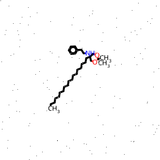 CCCCCCCCCCCCCCCCCCC1(NCCc2ccccc2)COC(C)(C)OC1